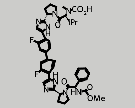 COC(=O)N[C@@H](C(=O)N1CCC[C@H]1c1ncc(-c2ccc(-c3ccc(-c4cnc([C@@H]5CCCN5C(=O)[C@H](C(C)C)N(C)C(=O)O)[nH]4)c(F)c3)cc2F)[nH]1)c1ccccc1